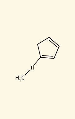 [CH3][Tl][C]1=CC=CC1